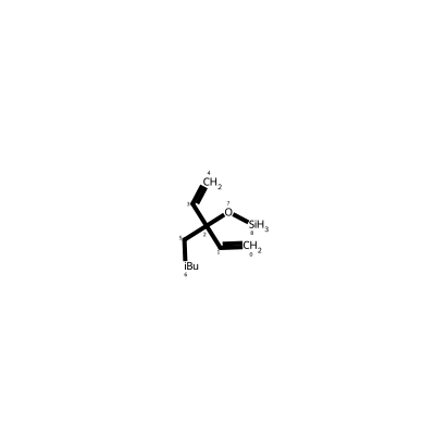 C=CC(C=C)(CC(C)CC)O[SiH3]